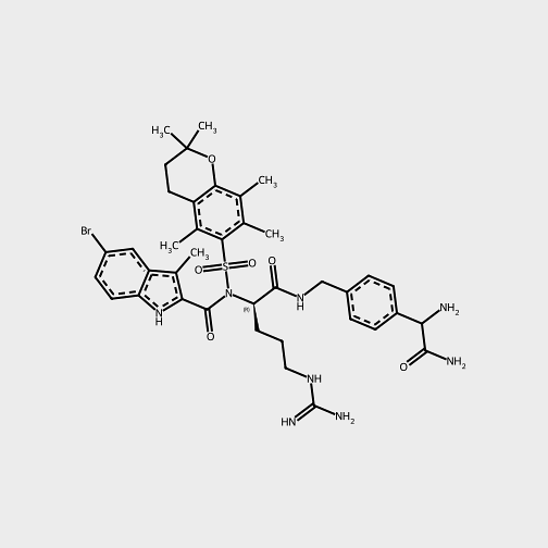 Cc1c(C)c(S(=O)(=O)N(C(=O)c2[nH]c3ccc(Br)cc3c2C)[C@H](CCCNC(=N)N)C(=O)NCc2ccc(C(N)C(N)=O)cc2)c(C)c2c1OC(C)(C)CC2